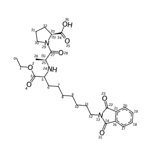 CCOC(=O)C(CCCCCCCN1C(=O)c2ccccc2C1=O)N[C@@H](C)C(=O)N1CCC[C@H]1C(=O)O